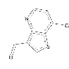 O=Cc1csc2c(Cl)ccnc12